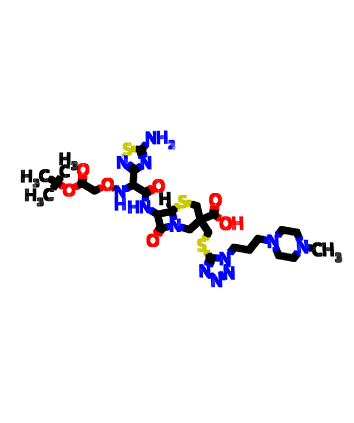 CN1CCN(CCCn2nnnc2SCC2(C(=O)O)CS[C@@H]3C(NC(=O)C(NOCC(=O)OC(C)(C)C)c4nsc(N)n4)C(=O)N3C2)CC1